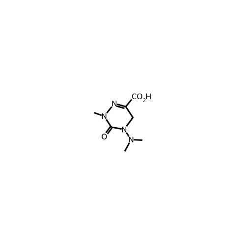 CN1N=C(C(=O)O)CN(N(C)C)C1=O